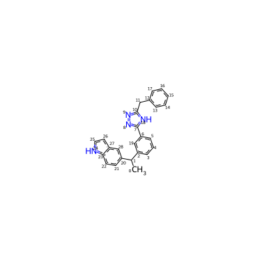 CC(c1cccc(-c2nnc(Cc3ccccc3)[nH]2)c1)c1ccc2[nH]ccc2c1